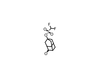 O=C1C2CC3CC1CC(OS(=O)(=O)C(F)F)(C3)C2